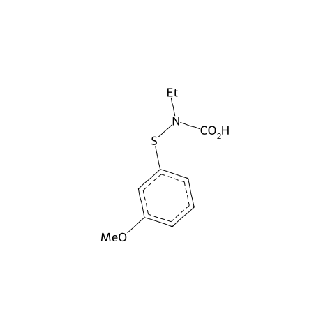 CCN(Sc1cccc(OC)c1)C(=O)O